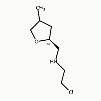 CC1CO[C@H](CNCCCl)C1